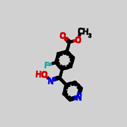 COC(=O)c1ccc(/C(=N\O)c2ccncc2)c(F)c1